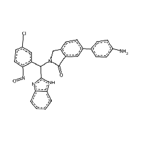 Nc1ccc(-c2ccc3c(c2)C(=O)N(C(c2nc4ccccc4[nH]2)c2cc(Cl)ccc2N=O)C3)cc1